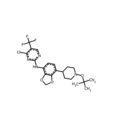 CC(C)(C)ON1CCC(c2ccc(Nc3ncc(C(F)(F)F)c(Cl)n3)c3c2OCO3)CC1